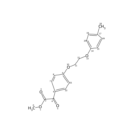 COC(=O)C(=O)c1ccc(OCCOc2ccc(C)cc2)cc1